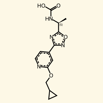 C[C@H](NC(=O)O)c1nc(-c2ccnc(OCC3CC3)c2)no1